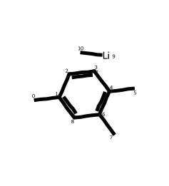 Cc1c[c]c(C)c(C)c1.[Li][CH3]